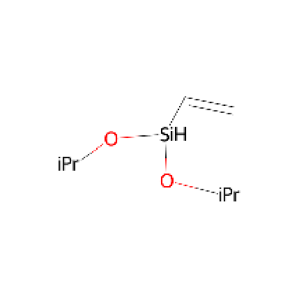 C=C[SiH](OC(C)C)OC(C)C